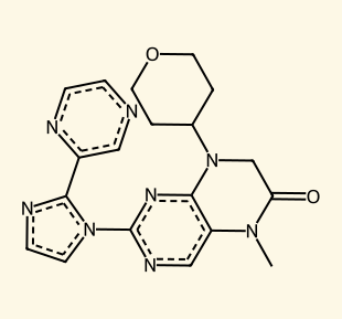 CN1C(=O)CN(C2CCOCC2)c2nc(-n3ccnc3-c3cnccn3)ncc21